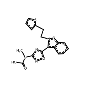 CN(C(=O)O)c1noc(-c2c3ccccc3nn2CCc2cccs2)n1